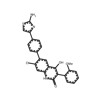 COc1ccccc1-c1c(O)c2cc(-c3ccc(-c4csc(N)n4)cc3)c(Cl)cc2[nH]c1=O